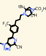 Cn1nnc2c(C#N)nc(-c3ccc(CCCN4C[C@@H]5CC4(C(C)(C)C)CN5C(=O)O)c(C(F)(F)F)c3)cc21